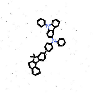 CC1(C)c2cc(-c3ccc(N(c4ccccc4)c4ccc5c(c4)c4ccccc4n5-c4ccccc4)cc3)ccc2-c2c1ccc1ccccc21